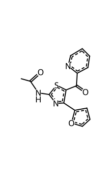 CC(=O)Nc1nc(-c2ccco2)c(C(=O)c2ccccn2)s1